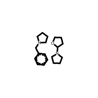 C1COC(N2CCCC2)C1.c1ccc(CN2CCCC2)cc1